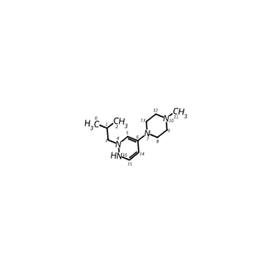 CC(C)CN1C=C(N2CCN(C)CC2)C=CN1